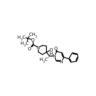 C[C@@H](n1cnc(-c2ccccc2)cc1=O)C1(O)CCN(C(=O)OC(C)(C)C)CC1